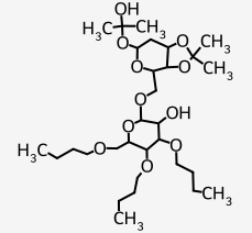 CCCCOCC1OC(OCC2OC(OC(C)(C)O)CC3OC(C)(C)OC23)C(O)C(OCCCC)C1OCCCC